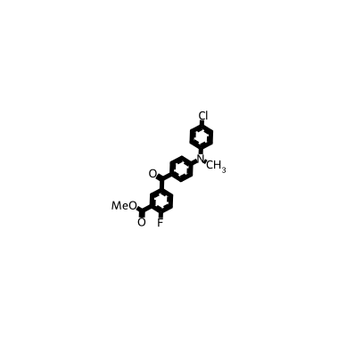 COC(=O)c1cc(C(=O)c2ccc(N(C)c3ccc(Cl)cc3)cc2)ccc1F